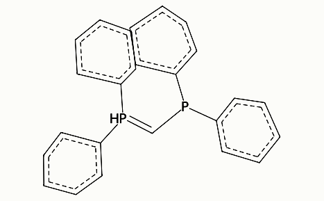 C(P(c1ccccc1)c1ccccc1)=[PH](c1ccccc1)c1ccccc1